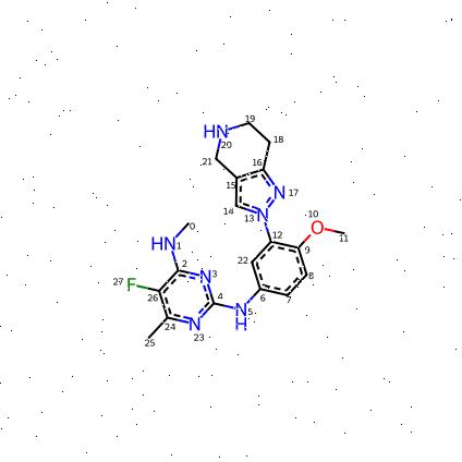 CNc1nc(Nc2ccc(OC)c(-n3cc4c(n3)CCNC4)c2)nc(C)c1F